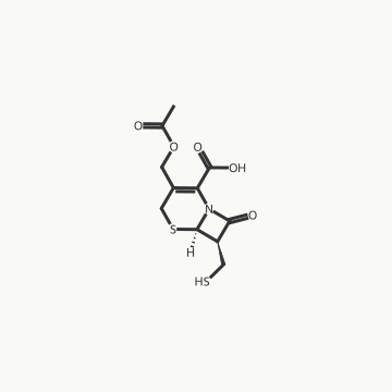 CC(=O)OCC1=C(C(=O)O)N2C(=O)[C@@H](CS)[C@H]2SC1